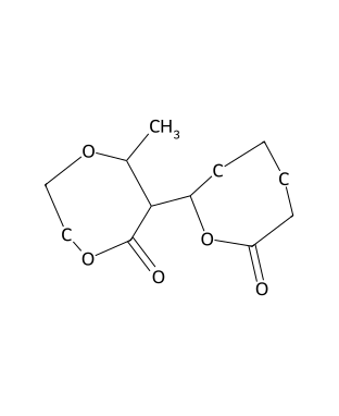 CC1OCCOC(=O)C1C1CCCCC(=O)O1